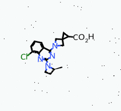 C[C@H]1CCN1c1nc(N2CC3(CC3C(=O)O)C2)c2cccc(Cl)c2n1